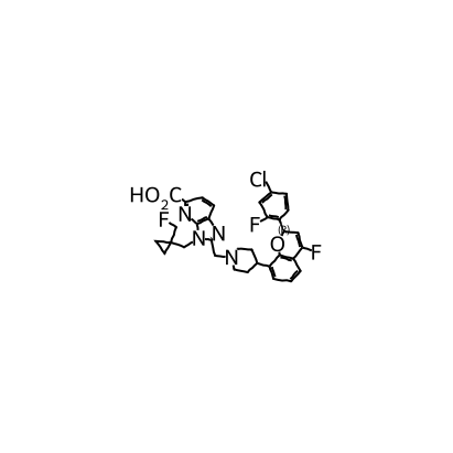 O=C(O)c1ccc2nc(CN3CCC(c4cccc5c4O[C@@H](c4ccc(Cl)cc4F)C=C5F)CC3)n(CC3(CF)CC3)c2n1